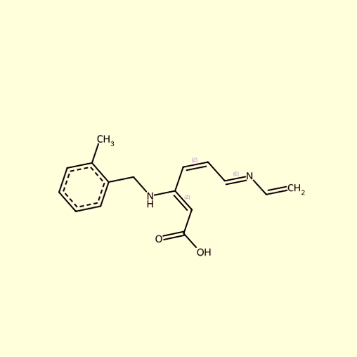 C=C/N=C/C=C\C(=C\C(=O)O)NCc1ccccc1C